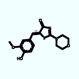 COc1cc(/C=C2\SC(N3CCOCC3)=NC2=O)ccc1O